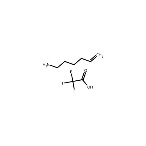 C=CCCCCN.O=C(O)C(F)(F)F